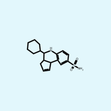 NS(=O)(=O)c1ccc2c(c1)C1C=CCC1C(C1CCCCC1)N2